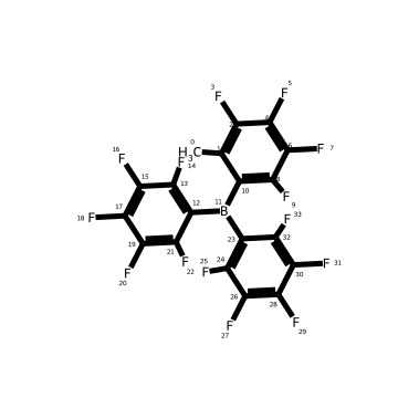 Cc1c(F)c(F)c(F)c(F)c1B(c1c(F)c(F)c(F)c(F)c1F)c1c(F)c(F)c(F)c(F)c1F